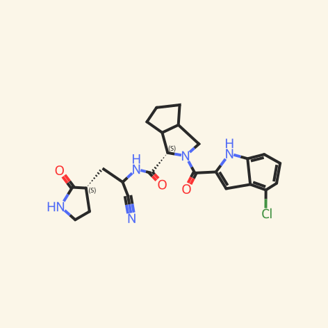 N#CC(C[C@@H]1CCNC1=O)NC(=O)[C@@H]1C2CCCC2CN1C(=O)c1cc2c(Cl)cccc2[nH]1